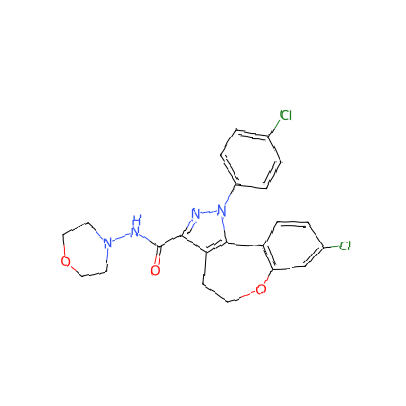 O=C(NN1CCOCC1)c1nn(-c2ccc(Cl)cc2)c2c1CCOc1cc(Cl)ccc1-2